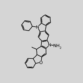 CC1c2c(n(N)c3cc4c5ccccc5n(C5C=CC=CC5)c4cc23)C=C2OC3C=CC=CC3C21